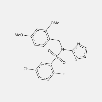 COc1ccc(CN(c2nccs2)S(=O)(=O)c2cc(Cl)ccc2F)c(OC)c1